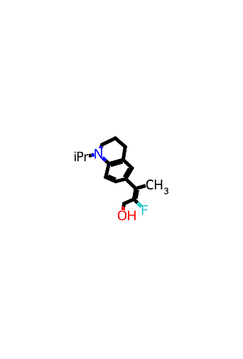 C/C(=C(\F)CO)c1ccc2c(c1)CCCN2C(C)C